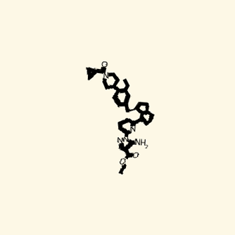 CCOC(=O)c1cnn(-c2cccc(-c3cccc4c3[C@@H](Cc3ccc(C5CCN(C(=O)C6CC6)CC5)c(CC)c3)CC4)n2)c1N